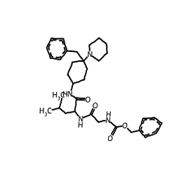 CC(C)CC(NC(=O)CNC(=O)OCc1ccccc1)C(=O)NC1CCC(Cc2ccccc2)(N2CCCCC2)CC1